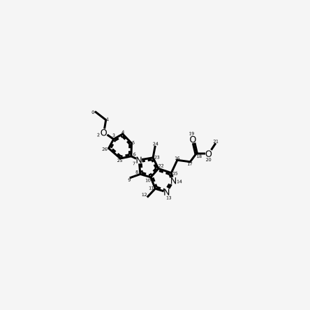 CCOc1ccc(-n2c(C)c3c(C)nnc(CCC(=O)OC)c3c2C)cc1